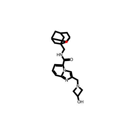 O=C(NCC12CC3CC(CC(C3)C1)C2)c1cccc2nc(CN3CC(O)C3)cn12